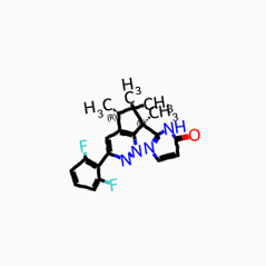 C[C@H]1c2cc(-c3c(F)cccc3F)nnc2[C@](C)(c2nccc(=O)[nH]2)C1(C)C